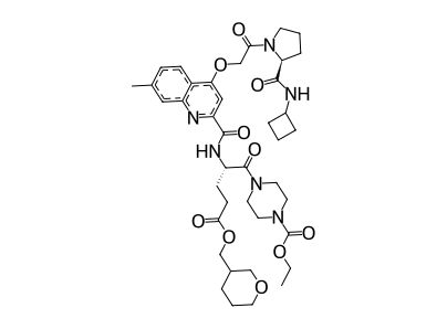 CCOC(=O)N1CCN(C(=O)[C@H](CCC(=O)OCC2CCCOC2)NC(=O)c2cc(OCC(=O)N3CCC[C@H]3C(=O)NC3CCC3)c3ccc(C)cc3n2)CC1